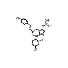 Clc1ccc(COC(CNc2ccc(Cl)cc2Cl)Cn2ccnc2)cc1.O=[N+]([O-])O